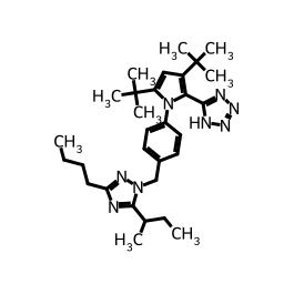 CCCCc1nc(C(C)CC)n(Cc2ccc(-n3c(C(C)(C)C)cc(C(C)(C)C)c3-c3nnn[nH]3)cc2)n1